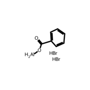 Br.Br.O=C([O][AlH2])c1ccccc1